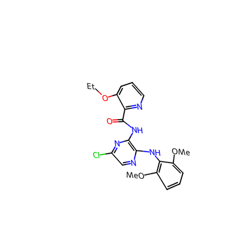 CCOc1cccnc1C(=O)Nc1nc(Cl)cnc1Nc1c(OC)cccc1OC